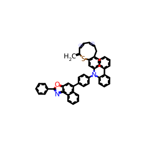 C=C1/C=C\C=C/Cc2ccc(N(c3ccc(-c4cc5oc(-c6ccccc6)nc5c5ccccc45)cc3)c3ccccc3-c3ccccc3)cc2S1